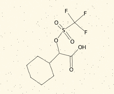 O=C(O)C(OS(=O)(=O)C(F)(F)F)C1CCCCC1